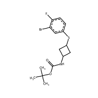 CC(C)(C)OC(=O)NC1CC(Sc2ccc(F)c(Br)c2)C1